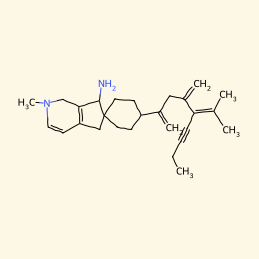 C=C(CC(=C)C1CCC2(CC1)CC1=C(CN(C)C=C1)C2N)C(C#CCC)=C(C)C